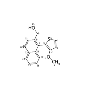 COc1ccsc1-c1c(CO)cnc2ccccc12